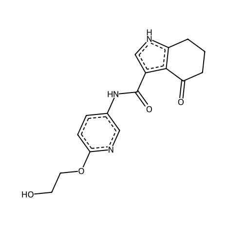 O=C(Nc1ccc(OCCO)nc1)c1c[nH]c2c1C(=O)CCC2